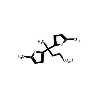 CCOC(=O)CCC(C)(c1ccc(C)o1)c1ccc(C)o1